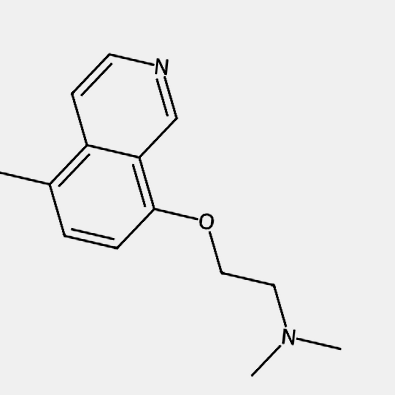 Cc1ccc(OCCN(C)C)c2cnccc12